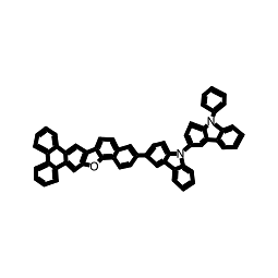 c1ccc(-n2c3ccccc3c3cc(-n4c5ccccc5c5cc(-c6ccc7c(ccc8c9cc%10c%11ccccc%11c%11ccccc%11c%10cc9oc78)c6)ccc54)ccc32)cc1